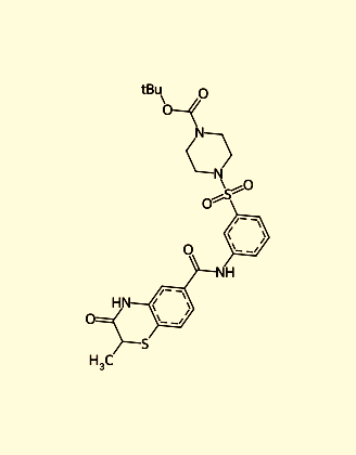 CC1Sc2ccc(C(=O)Nc3cccc(S(=O)(=O)N4CCN(C(=O)OC(C)(C)C)CC4)c3)cc2NC1=O